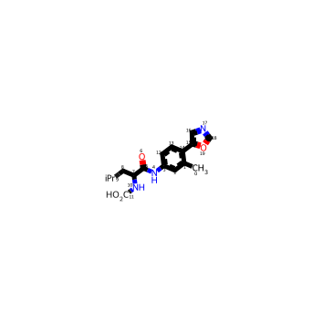 Cc1cc(NC(=O)C(CC(C)C)NC(=O)O)ccc1-c1cnco1